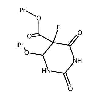 CC(C)OC(=O)C1(F)C(=O)NC(=O)NC1OC(C)C